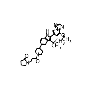 COc1cc(-c2[nH]c3ccc(C4CCN(C(=O)CCN5CCCC5=O)CC4)cc3c2C(C)C)cn2ncnc12